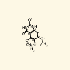 COc1cc2[nH]c(=O)[nH]c(=O)c2c(OC)c1OC